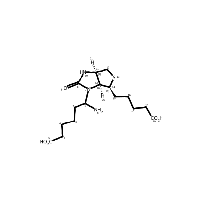 NC(CCCCC(=O)O)N1C(=O)N[C@H]2CS[C@@H](CCCCC(=O)O)[C@H]21